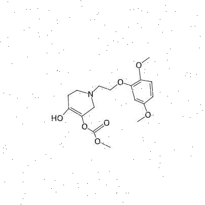 COC(=O)OC1=C(O)CCN(CCOc2cc(OC)ccc2OC)C1